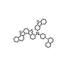 c1ccc2c(-c3ccc(N(c4ccc5sc6ccccc6c5c4)c4cccc5c4sc4ccc6sc7c8ccccc8ccc7c6c45)cc3)cccc2c1